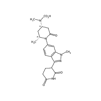 C[C@@H]1C[C@H](N(C)C(=O)O)CC(=O)N1c1ccc2c(C3CCC(=O)NC3=O)nn(C)c2c1